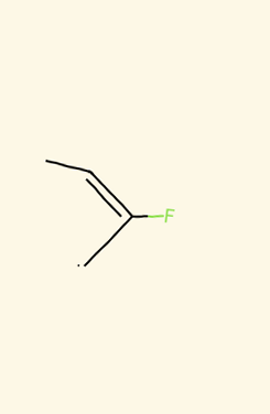 [CH2]/C(F)=C\C